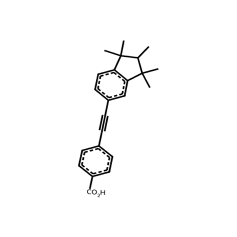 CC1C(C)(C)c2ccc(C#Cc3ccc(C(=O)O)cc3)cc2C1(C)C